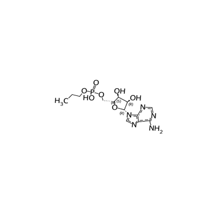 CCCOP(=O)(O)OC[C@H]1O[C@@H](n2cnc3c(N)ncnc32)[C@H](O)[C@@H]1O